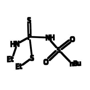 CCCCS(=O)(=O)NP(=S)(NCC)SCC